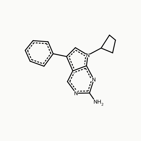 Nc1ncc2c(-c3ccccc3)cn(C3CCC3)c2n1